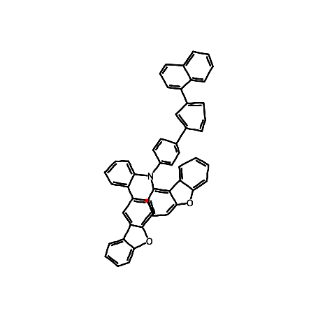 c1cc(-c2ccc(N(c3ccccc3-c3ccc4oc5ccccc5c4c3)c3cccc4oc5ccccc5c34)cc2)cc(-c2cccc3ccccc23)c1